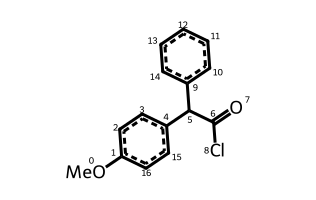 COc1ccc(C(C(=O)Cl)c2ccccc2)cc1